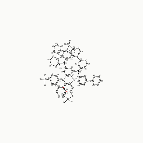 CC1(C)Cc2cc3c(cc2C1)N(c1ccc(C(C)(C)C)cc1-c1ccccc1)c1cc(N2c4ccc(C(C)(C)C)cc4C4(c5ccccc5)CCCCC24C)cc2c1B3c1ccc(-c3ccccc3)cc1N2c1cccc(-c2ccccc2)c1